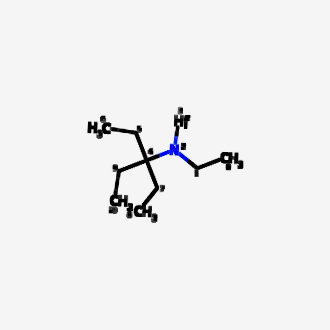 CC[N]([Hf])C(CC)(CC)CC